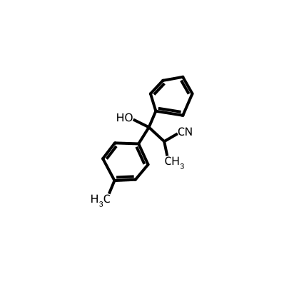 Cc1ccc(C(O)(c2ccccc2)C(C)C#N)cc1